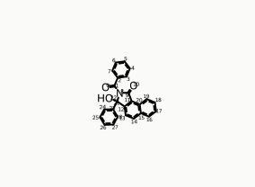 O=C(c1ccccc1)N1C(=O)c2c(ccc3ccccc23)C1(O)c1ccccc1